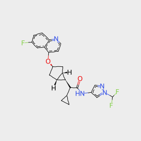 O=C(Nc1cnn(C(F)F)c1)C(C1CC1)[C@H]1[C@@H]2C[C@@H](Oc3ccnc4ccc(F)cc34)C[C@@H]21